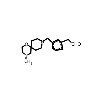 CN1CCOC2(CCN(Cc3cccc(CC=O)c3)CC2)C1